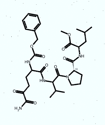 COC(=O)C(CC(C)C)NC(=O)[C@@H]1CCCN1C(=O)C(NC(=O)C(CCC(=O)C(N)=O)NC(=O)OCc1ccccc1)C(C)C